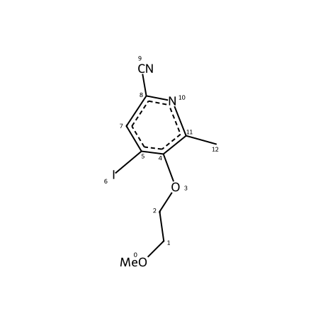 COCCOc1c(I)cc(C#N)nc1C